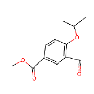 COC(=O)c1ccc(OC(C)C)c(C=O)c1